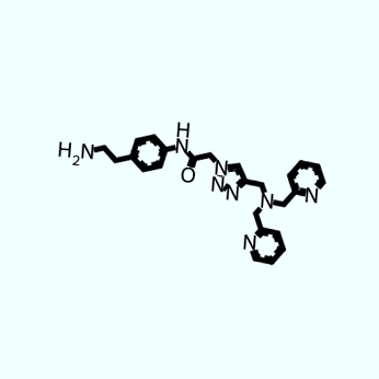 NCCc1ccc(NC(=O)Cn2cc(CN(Cc3ccccn3)Cc3ccccn3)nn2)cc1